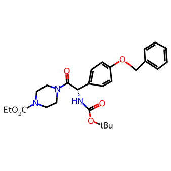 CCOC(=O)N1CCN(C(=O)[C@@H](NC(=O)OC(C)(C)C)c2ccc(OCc3ccccc3)cc2)CC1